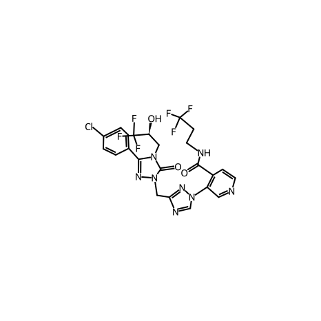 O=C(NCCC(F)(F)F)c1ccncc1-n1cnc(Cn2nc(-c3ccc(Cl)cc3)n(C[C@H](O)C(F)(F)F)c2=O)n1